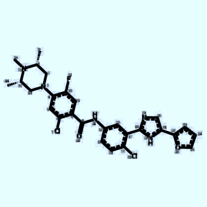 C[C@@H]1CN(c2cc(Cl)c(C(=O)Nc3ccc(Cl)c(-c4ncc(-c5ccco5)[nH]4)c3)cc2F)C[C@H](C)N1C